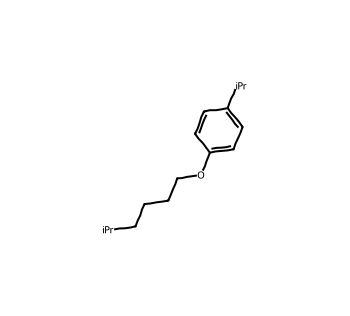 CC(C)CCCCOc1ccc(C(C)C)cc1